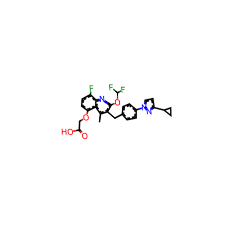 Cc1c(Cc2ccc(-n3ccc(C4CC4)n3)cc2)c(OC(F)F)nc2c(F)ccc(OCC(=O)O)c12